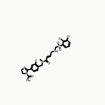 CN(Cc1ccc(C2=NCCN2C(=O)O)cc1F)C(=O)/C=C/CNCS(=O)(=O)c1cccc(Cl)c1Cl